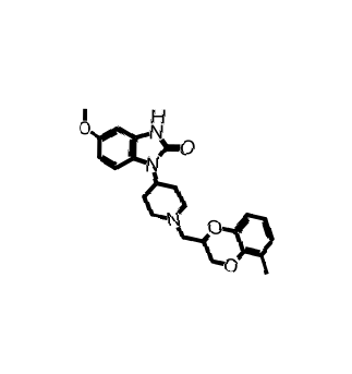 COc1ccc2c(c1)[nH]c(=O)n2C1CCN(CC2COc3c(C)cccc3O2)CC1